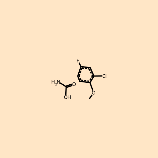 COc1ccc(F)cc1Cl.NC(=O)O